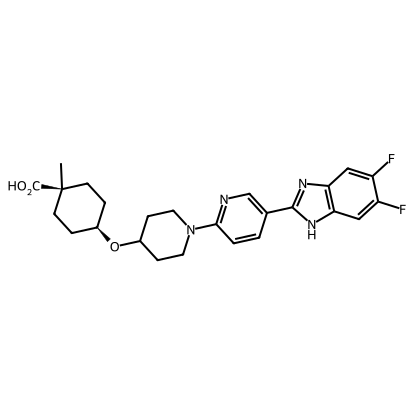 C[C@]1(C(=O)O)CC[C@@H](OC2CCN(c3ccc(-c4nc5cc(F)c(F)cc5[nH]4)cn3)CC2)CC1